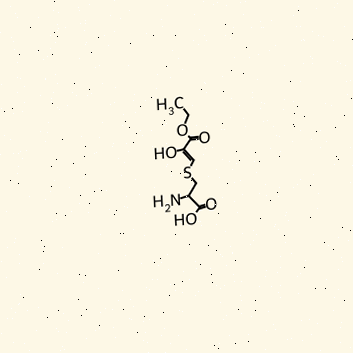 CCOC(=O)C(O)=CSCC(N)C(=O)O